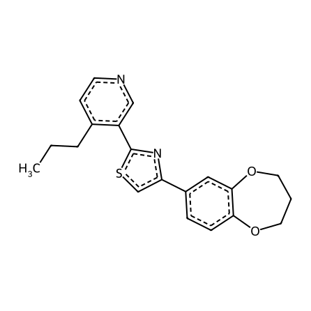 CCCc1ccncc1-c1nc(-c2ccc3c(c2)OCCCO3)cs1